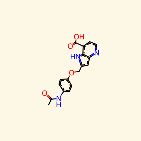 CC(=O)Nc1ccc(OCc2cc3nccc(C(=O)O)c3[nH]2)cc1